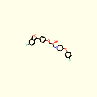 O[C@@H](COc1ccc(-c2occ3cc(F)ccc23)cc1)CN1CCC(Oc2ccc(F)cc2)CC1